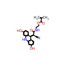 C=C(C)C(=O)OCCNC(=O)C(C#N)=C1c2ccc(O)cc2Nc2cc(O)ccc21